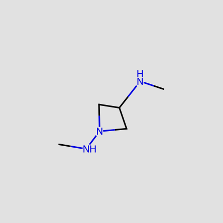 CNC1CN(NC)C1